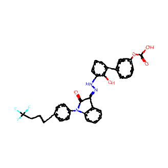 O=C(O)Oc1cccc(-c2cccc(NN=C3C(=O)N(c4ccc(CCCC(F)(F)F)cc4)c4ccccc43)c2O)c1